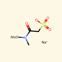 CON(C)C(=O)CS(=O)(=O)[O-].[Na+]